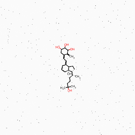 C=C1/C(=C\C=C2/CCC[C@@]3(C)C2CC[C@@H]3[C@H](C)CCCC(C)(C)O)C[C@@H](O)C(O)C1O